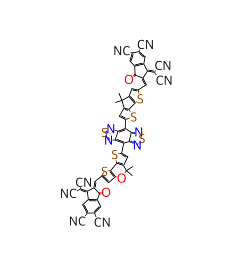 CC1(C)Oc2cc(/C=C3\C(=O)c4cc(C#N)c(C#N)cc4C3=C(C#N)C#N)sc2-c2sc(-c3c4c(c(-c5cc6c(s5)-c5sc(/C=C7\C(=O)c8cc(C#N)c(C#N)cc8C7=C(C#N)C#N)cc5C6(C)C)c5nsnc35)N=S=N4)cc21